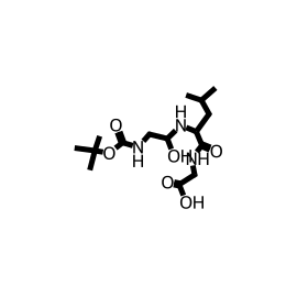 CC(C)CC(NC(O)CNC(=O)OC(C)(C)C)C(=O)NCC(=O)O